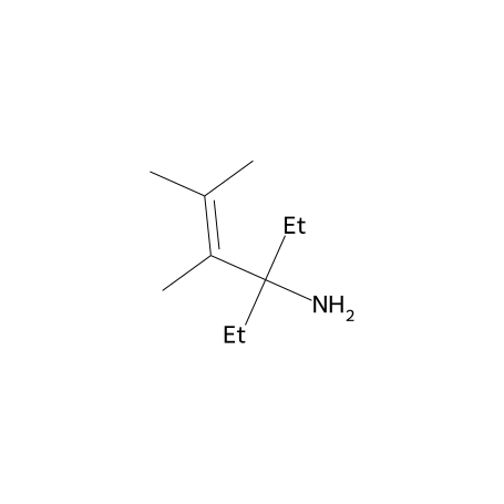 CCC(N)(CC)C(C)=C(C)C